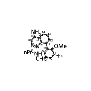 CCCNC=O.COc1c(F)cccc1-c1cccc2c(N)cnnc12